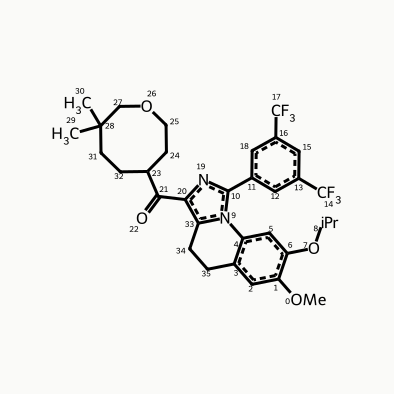 COc1cc2c(cc1OC(C)C)-n1c(-c3cc(C(F)(F)F)cc(C(F)(F)F)c3)nc(C(=O)C3CCOCC(C)(C)CC3)c1CC2